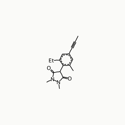 CC#Cc1cc(C)c(C2C(=O)N(C)N(C)C2=O)c(CC)c1